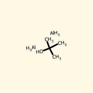 CC(C)(C)O.[AlH3].[AlH3]